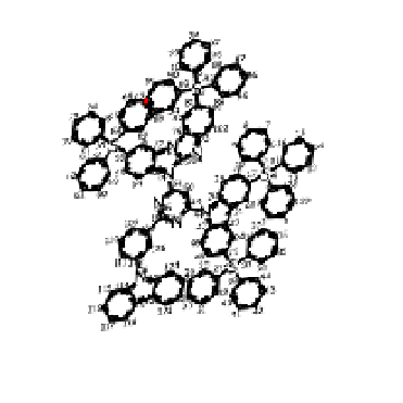 c1ccc(S(c2ccccc2)(c2ccccc2)c2ccc3c(c2)c2cc(S(c4ccccc4)(c4ccccc4)c4ccccc4)ccc2n3-c2cc(-n3c4ccc(S(c5ccccc5)(c5ccccc5)c5ccccc5)cc4n4c5cc(S(c6ccccc6)(c6ccccc6)c6ccccc6)ccc5nc34)nc(-c3cccc(-n4c5ccccc5c5ccccc54)c3)n2)cc1